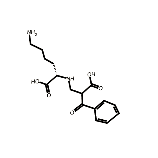 NCCCC[C@H](NCC(C(=O)O)C(=O)c1ccccc1)C(=O)O